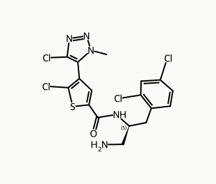 Cn1nnc(Cl)c1-c1cc(C(=O)N[C@H](CN)Cc2ccc(Cl)cc2Cl)sc1Cl